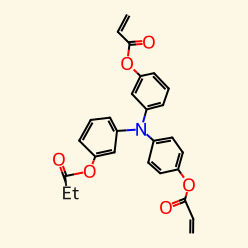 C=CC(=O)Oc1ccc(N(c2cccc(OC(=O)C=C)c2)c2cccc(OC(=O)CC)c2)cc1